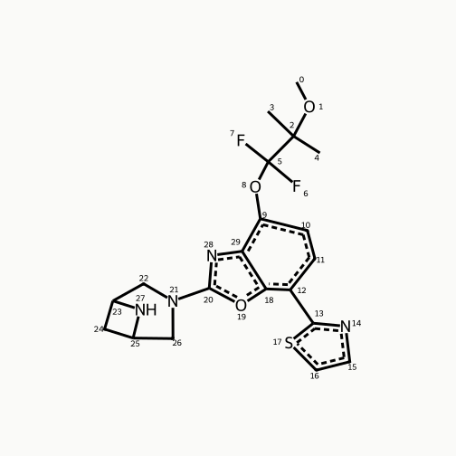 COC(C)(C)C(F)(F)Oc1ccc(-c2nccs2)c2oc(N3CC4CC(C3)N4)nc12